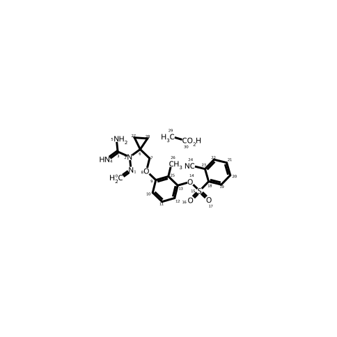 C=NN(C(=N)N)C1(COc2cccc(OS(=O)(=O)c3ccccc3C#N)c2C)CC1.CC(=O)O